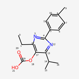 CCc1nc(-c2ccc(C)cc2)nc(C(C)C)c1OC(=O)O